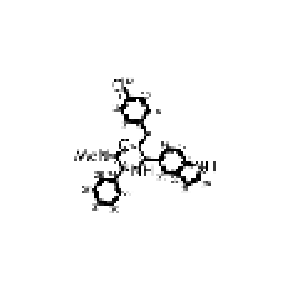 CNC(=O)[C@H](N[C@@H](CCc1ccc(Cl)cc1)c1ccc2[nH]ccc2c1)c1ccccc1